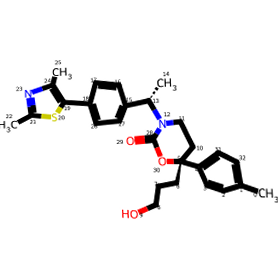 Cc1ccc([C@@]2(CCCO)CCN([C@@H](C)c3ccc(-c4sc(C)nc4C)cc3)C(=O)O2)cc1